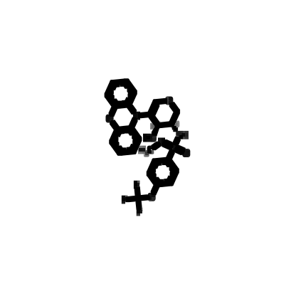 CN=S(=O)(N[C@H]1COC=C(N2c3ccccc3Oc3ccccc32)[C@@H]1O)c1ccc(OC(F)(F)F)cc1